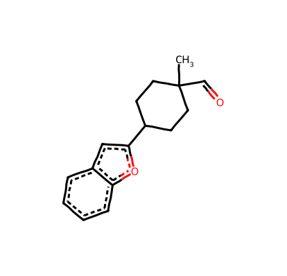 CC1(C=O)CCC(c2cc3ccccc3o2)CC1